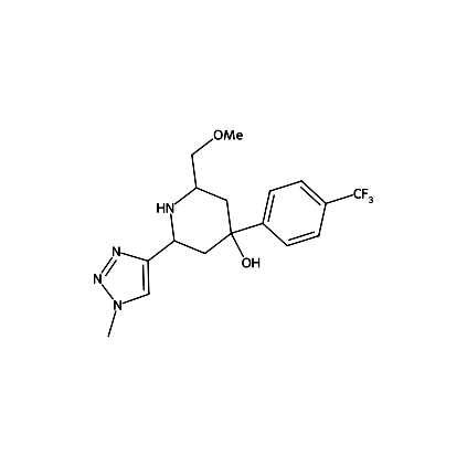 COCC1CC(O)(c2ccc(C(F)(F)F)cc2)CC(c2cn(C)nn2)N1